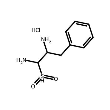 Cl.NC(Cc1ccccc1)C(N)[SH](=O)=O